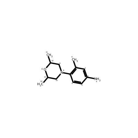 Cc1cc(N)ccc1N1CC(C)OC(C)C1